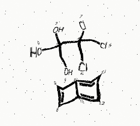 OC(O)(O)C(Cl)(Cl)Cl.c1cc2ccc1-2